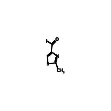 Cc1nc(C(=O)I)cs1